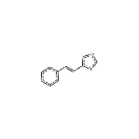 C(=C\c1cocn1)/c1ccccc1